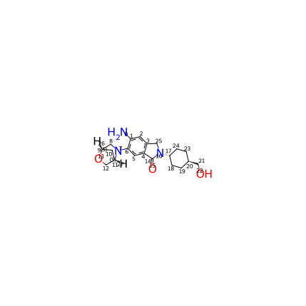 Nc1cc2c(cc1N1C[C@@H]3C[C@H]1CO3)C(=O)N([C@H]1CC[C@H](CO)CC1)C2